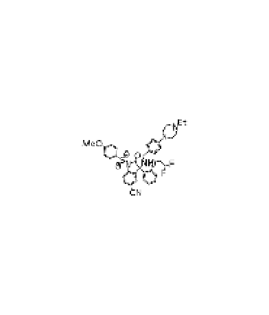 CCN1CCN(c2ccc(CNC3(c4ccccc4OCC(F)F)C(=O)N(S(=O)(=O)c4ccc(OC)cc4)c4ccc(C#N)cc43)cc2)CC1